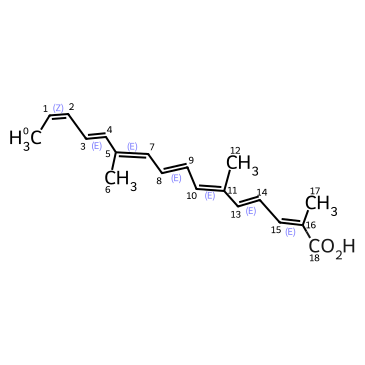 C\C=C/C=C/C(C)=C/C=C/C=C(C)/C=C/C=C(\C)C(=O)O